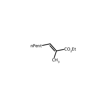 CCCCC/C=C(\C)C(=O)OCC